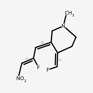 CN1CCC(=C/F)/C(=C\C(F)=C\[N+](=O)[O-])C1